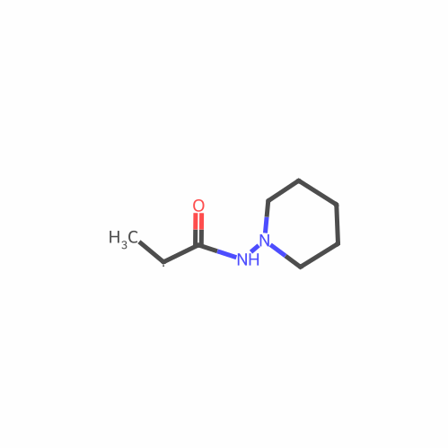 C[CH]C(=O)NN1CCCCC1